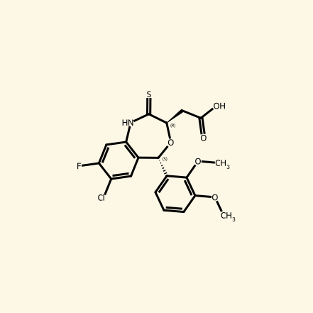 COc1cccc([C@H]2O[C@H](CC(=O)O)C(=S)Nc3cc(F)c(Cl)cc32)c1OC